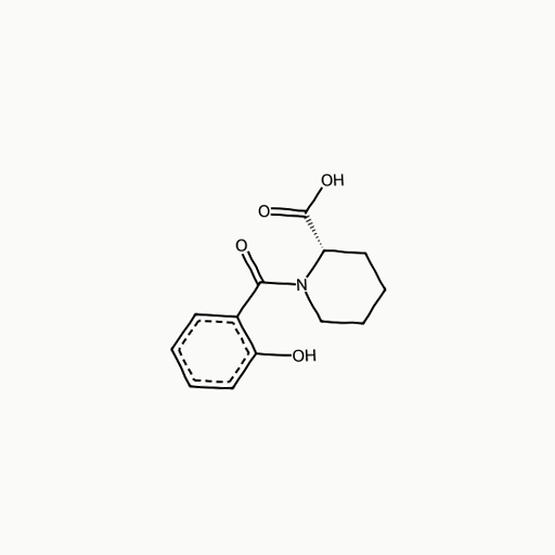 O=C(O)[C@@H]1CCCCN1C(=O)c1ccccc1O